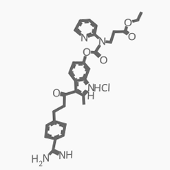 CCOC(=O)CCN(C(=O)Oc1ccc2c(C(=O)CCc3ccc(C(=N)N)cc3)c(C)[nH]c2c1)c1ccccn1.Cl